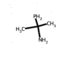 CC(C)(N)P